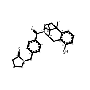 CC12CCN(C(=O)c3ccc(CN4CCCC4=O)cc3)C(Cc3c(O)cccc31)C2(C)C